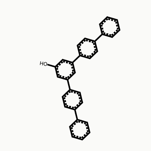 Oc1cc(-c2ccc(-c3ccccc3)cc2)cc(-c2ccc(-c3ccccc3)cc2)c1